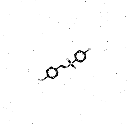 COc1ccc(C=NS(=O)(=O)c2ccc(Br)cc2)cc1